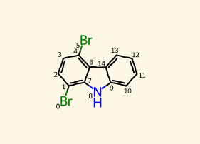 Brc1ccc(Br)c2c1[nH]c1ccccc12